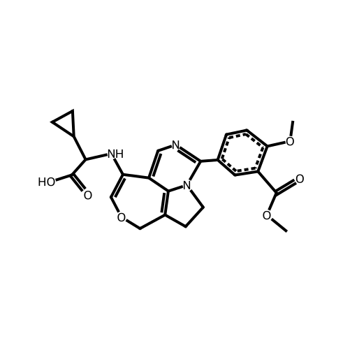 COC(=O)c1cc(C2=NC=C3C(NC(C(=O)O)C4CC4)=COCC4=C3N2CC4)ccc1OC